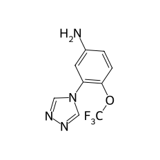 Nc1ccc(OC(F)(F)F)c(-n2cnnc2)c1